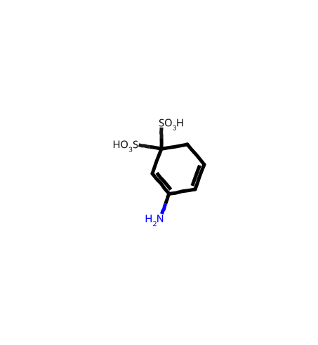 NC1=CC(S(=O)(=O)O)(S(=O)(=O)O)CC=C1